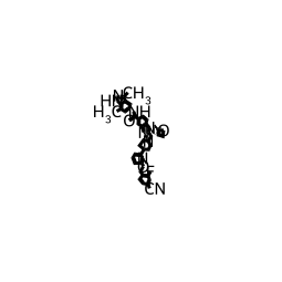 Cc1n[nH]c2c(C)cc(NC(=O)c3ccc4c(c3)nc(CN3CCC(c5cccc(OCc6ccc(C#N)cc6F)n5)CC3)n4C[C@@H]3CCO3)cc12